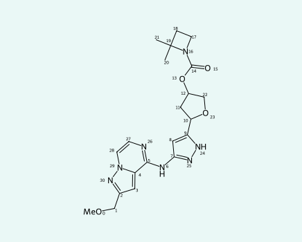 COCc1cc2c(Nc3cc(C4CC(OC(=O)N5CCC5(C)C)CO4)[nH]n3)nccn2n1